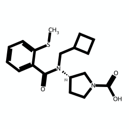 CSc1ccccc1C(=O)N(CC1CCC1)[C@H]1CCN(C(=O)O)C1